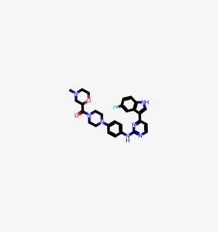 CN1CCOC(C(=O)N2CCN(c3ccc(Nc4nccc(-c5c[nH]c6ccc(F)cc56)n4)cc3)CC2)C1